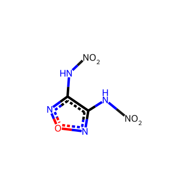 O=[N+]([O-])Nc1nonc1N[N+](=O)[O-]